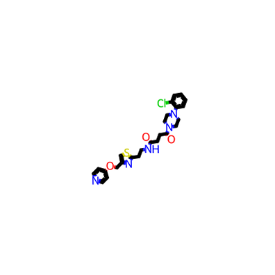 O=C(CCC(=O)N1CCN(c2ccccc2Cl)CC1)NCCc1nc(COc2ccncc2)cs1